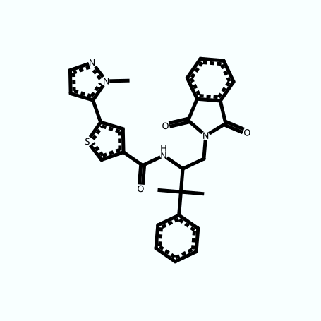 Cn1nccc1-c1cc(C(=O)NC(CN2C(=O)c3ccccc3C2=O)C(C)(C)c2ccccc2)cs1